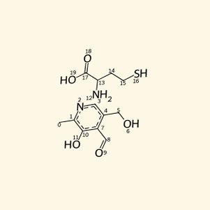 Cc1ncc(CO)c(C=O)c1O.NC(CCS)C(=O)O